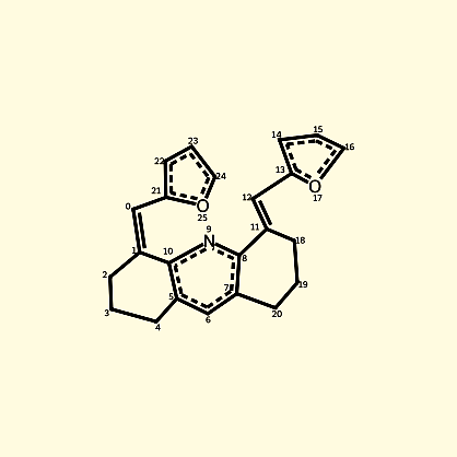 C(=C1\CCCc2cc3c(nc21)/C(=C/c1ccco1)CCC3)/c1ccco1